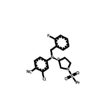 CC(C)S(=O)(=O)N1CC[C@H](N(Cc2ccccc2F)c2ccc(C#N)c(Cl)c2)C1